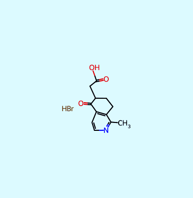 Br.Cc1nccc2c1CCC(CC(=O)O)C2=O